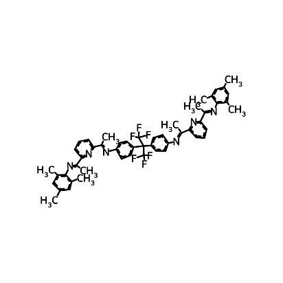 C/C(=N\c1ccc(C(c2ccc(/N=C(\C)c3cccc(/C(C)=N/c4c(C)cc(C)cc4C)n3)cc2)(C(F)(F)F)C(F)(F)F)cc1)c1cccc(/C(C)=N/c2c(C)cc(C)cc2C)n1